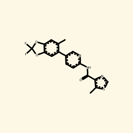 Cc1cc2c(cc1-c1ccc(NC(=O)c3ncsc3C)nc1)OC(F)(F)O2